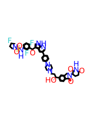 O=C1CC[C@@H](N2Cc3cc([C@H](O)CCN4CCN(c5ccc(-c6cnc7[nH]cc(C(=O)c8c(F)ccc(NS(=O)(=O)N9CC[C@@H](F)C9)c8F)c7c6)cc5)CC4)ccc3C2=O)C(=O)N1